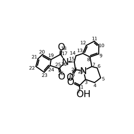 O=C(O)C1CCCC2c3ccccc3C[C@H](N3C(=O)c4ccccc4C3=O)C(=O)N12